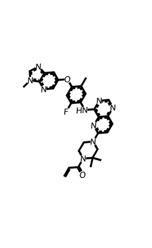 C=CC(=O)N1CCN(c2ccc3ncnc(Nc4cc(C)c(Oc5cnc6c(c5)ncn6C)cc4F)c3n2)CC1(C)C